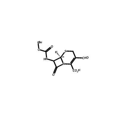 CC(C)(C)OC(=O)NC1C(=O)N2C(C(=O)O)=C(C=O)CS[C@H]12